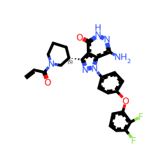 C=CC(=O)N1CCC[C@H](c2nn(-c3ccc(Oc4cccc(F)c4F)cc3)c3c(N)n[nH]c(=O)c23)C1